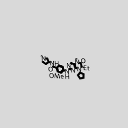 CC[C@@H]1C(=O)N(C)c2cnc(Nc3ccc(C(=O)NC4CCN(C)C4)cc3OC)nc2N1C1CCCC1